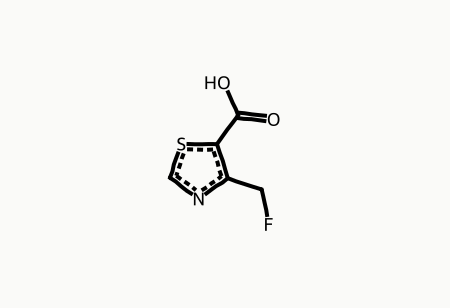 O=C(O)c1scnc1CF